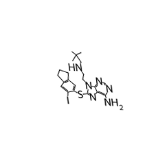 CC(C)(C)CNCCn1c(Sc2cc3c(cc2I)CCC3)nc2c(N)ncnc21